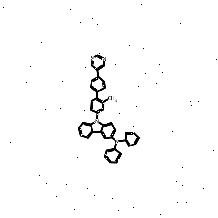 Cc1cc(-n2c3ccccc3c3cc(N(c4ccccc4)c4ccccc4)ccc32)ccc1-c1ccc(-c2cncnc2)cc1